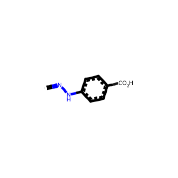 [C]=NNc1ccc(C(=O)O)cc1